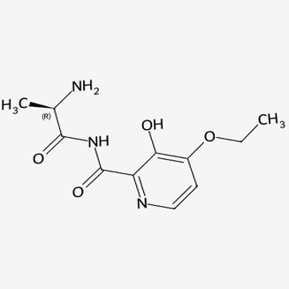 CCOc1ccnc(C(=O)NC(=O)[C@@H](C)N)c1O